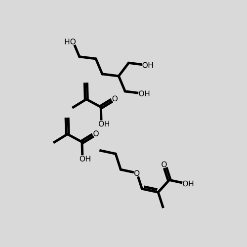 C=C(C)C(=O)O.C=C(C)C(=O)O.CCCOC=C(C)C(=O)O.OCCCC(CO)CO